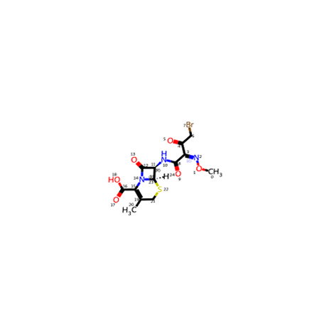 CO/N=C(/C(=O)CBr)C(=O)N[C@@H]1C(=O)N2C(C(=O)O)=C(C)CS[C@H]12